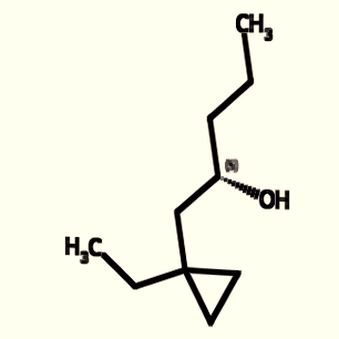 CCC[C@H](O)CC1(CC)CC1